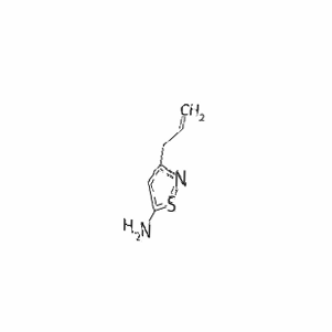 C=CCc1cc(N)sn1